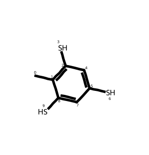 Cc1c(S)cc(S)cc1S